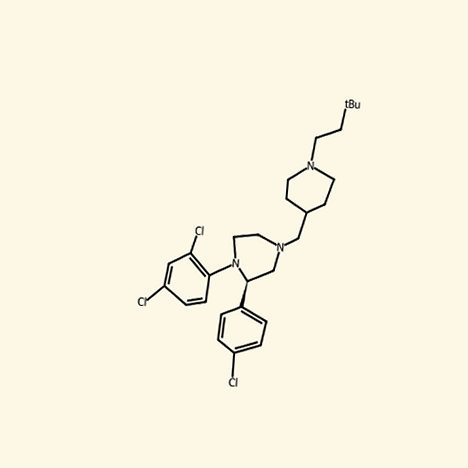 CC(C)(C)CCN1CCC(CN2CCN(c3ccc(Cl)cc3Cl)[C@H](c3ccc(Cl)cc3)C2)CC1